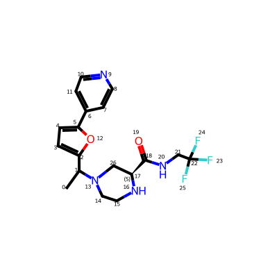 CC(c1ccc(-c2ccncc2)o1)N1CCN[C@H](C(=O)NCC(F)(F)F)C1